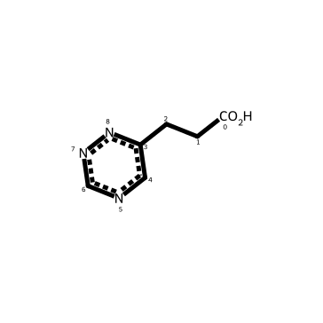 O=C(O)CCc1cncnn1